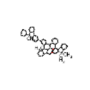 CC1(C)c2ccccc2-c2c(-c3ccccc3N3c4ccc(-c5ccc6c(c5)-c5ccccc5C6(C)c5ccccc5)cc4C4(C)c5ccccc5-c5cccc3c54)cccc21